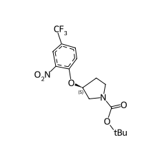 CC(C)(C)OC(=O)N1CC[C@H](Oc2ccc(C(F)(F)F)cc2[N+](=O)[O-])C1